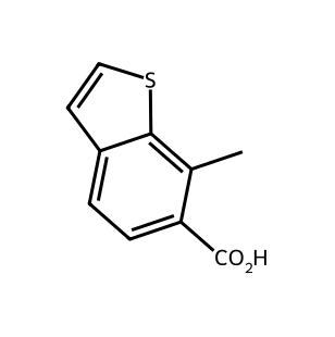 Cc1c(C(=O)O)ccc2ccsc12